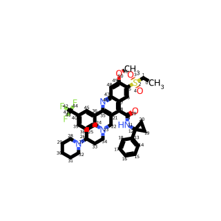 CCS(=O)(=O)c1cc2c(C(=O)NC3(c4ccccc4)CC3)c(CN3CCC(N4CCCCC4)CC3)c(-c3cccc(C(F)(F)F)c3)nc2cc1OC